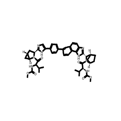 COC(=O)NC(C(=O)N1[C@@H]2C[C@@H]2C[C@H]1c1ncc(-c2ccc(-c3ccc4c(ccc5nc([C@@H]6[C@H]7CC[C@H](C7)N6C(=O)[C@@H](NC(=O)OC)C(C)C)[nH]c54)c3)cc2)[nH]1)C(C)C